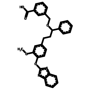 COc1cc(CCC(OCc2cccc(C(=O)O)c2)c2ccccc2)ccc1Oc1nc2ccccc2s1